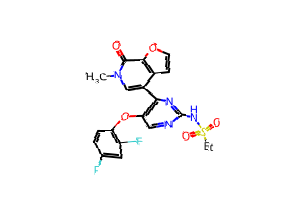 CCS(=O)(=O)Nc1ncc(Oc2ccc(F)cc2F)c(-c2cn(C)c(=O)c3occc23)n1